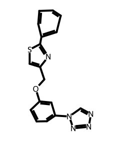 c1ccc(-c2nc(COc3cccc(-n4cnnn4)c3)cs2)cc1